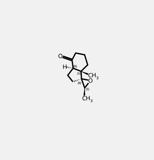 C[C@@H]1O[C@@]12CC[C@H]1C(=O)CCC[C@@]12C